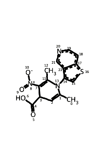 CC1=CC(C(=O)O)C([N+](=O)[O-])=C(C)N1c1csc2ccncc12